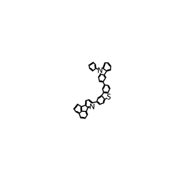 c1ccc(-n2c3ccccc3c3cc(-c4ccc5sc6ccc(-c7ccc8c(n7)-c7cccc9cccc-8c79)cc6c5c4)ccc32)cc1